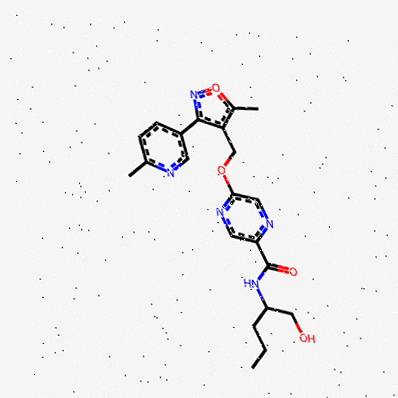 CCCC(CO)NC(=O)c1cnc(OCc2c(-c3ccc(C)nc3)noc2C)cn1